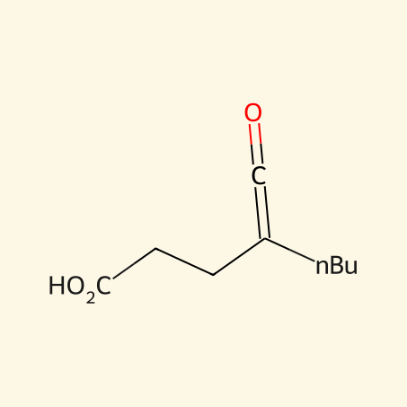 CCCCC(=C=O)CCC(=O)O